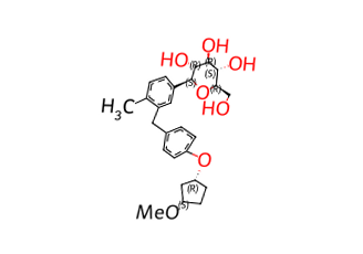 CO[C@H]1CC[C@@H](Oc2ccc(Cc3cc([C@@H]4O[C@H](CO)[C@@H](O)[C@H](O)[C@H]4O)ccc3C)cc2)C1